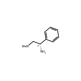 CNC[C@@H](N)c1ccccc1